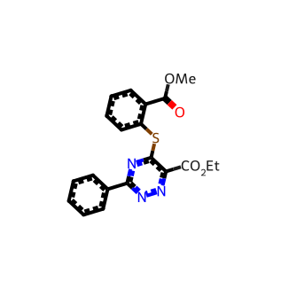 CCOC(=O)c1nnc(-c2ccccc2)nc1Sc1ccccc1C(=O)OC